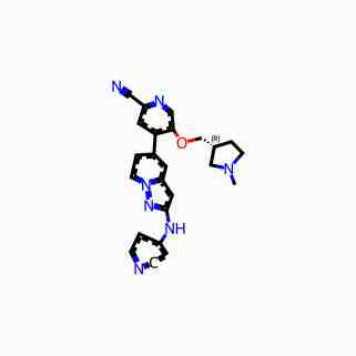 CN1CC[C@@H](COc2cnc(C#N)cc2-c2ccn3nc(Nc4ccncc4)cc3c2)C1